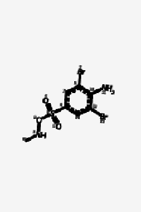 CNOS(=O)(=O)c1cc(Br)c(N)c(Br)c1